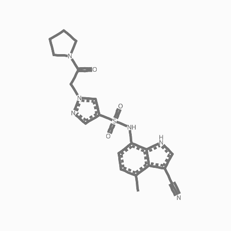 Cc1ccc(NS(=O)(=O)c2cnn(CC(=O)N3CCCC3)c2)c2[nH]cc(C#N)c12